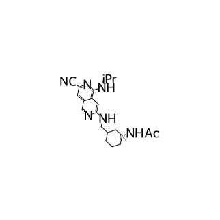 CC(=O)N[C@@H]1CCCC(CNc2cc3c(NC(C)C)nc(C#N)cc3cn2)C1